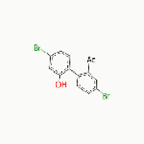 CC(=O)c1cc(Br)ccc1-c1ccc(Br)cc1O